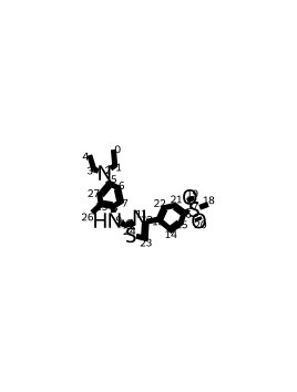 CCN(CC)c1ccc(Nc2nc(-c3ccc(S(C)(=O)=O)cc3)cs2)c(C)c1